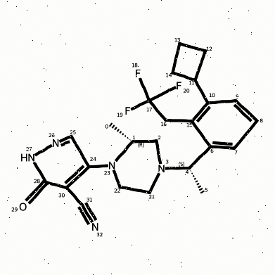 C[C@@H]1CN([C@@H](C)c2cccc(C3CCC3)c2CC(F)(F)F)CCN1c1cn[nH]c(=O)c1C#N